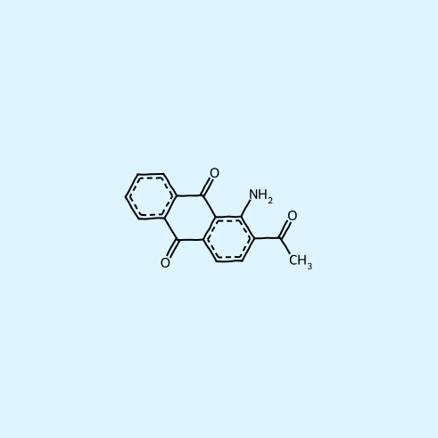 CC(=O)c1ccc2c(c1N)C(=O)c1ccccc1C2=O